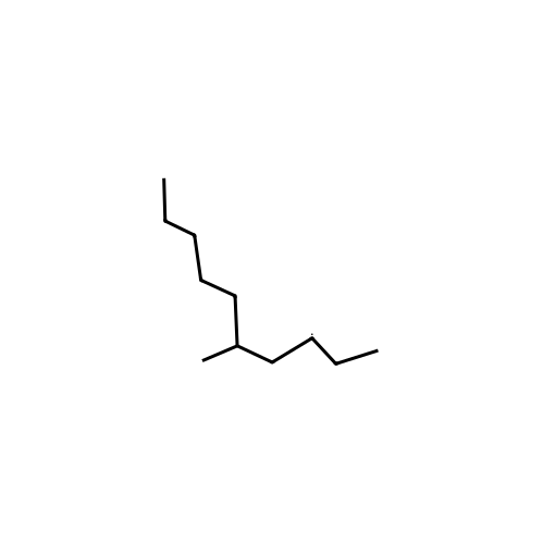 CC[CH]CC(C)CCCCC